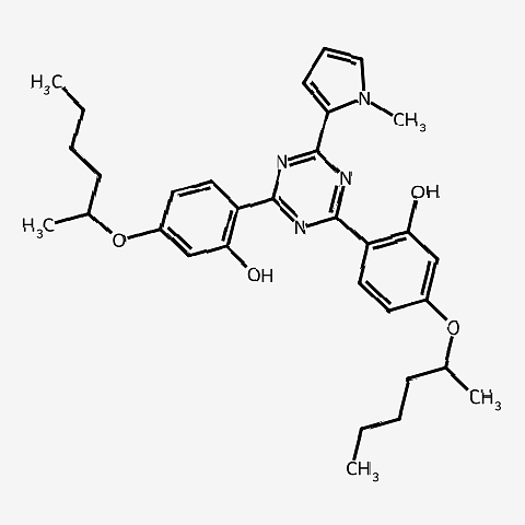 CCCCC(C)Oc1ccc(-c2nc(-c3ccc(OC(C)CCCC)cc3O)nc(-c3cccn3C)n2)c(O)c1